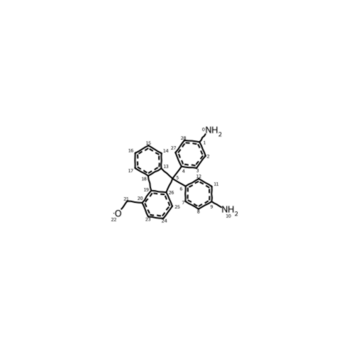 Nc1ccc(C2(c3ccc(N)cc3)c3ccccc3-c3c(C[O])cccc32)cc1